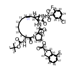 CC(C)(C)OC(=O)N[C@H]1CCCCC/C=C\[C@@H]2C[C@@]2(C(=O)NS(=O)(=O)c2cc(Cl)ccc2F)NC(=O)[C@@H]2C[C@@H](OC(=O)N3Cc4cccc(F)c4C3)CN2C1=O